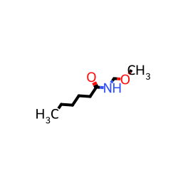 CCCCCC(=O)NCOC